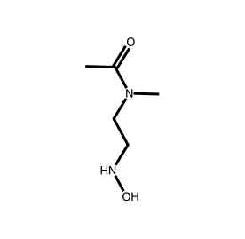 CC(=O)N(C)CCNO